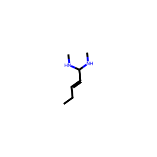 CC/C=C/C(NC)NC